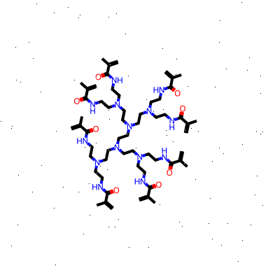 C=C(C)C(=O)NCCN(CCNC(=O)C(=C)C)CCN(CCN(CCNC(=O)C(=C)C)CCNC(=O)C(=C)C)CCN(CCN(CCNC(=O)C(=C)C)CCNC(=O)C(=C)C)CCN(CCNC(=O)C(=C)C)CCNC(=O)C(=C)C